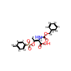 C/C(OS(=O)(=O)c1ccc(C)cc1)=C(\NC(=O)OCc1ccccc1)C(=O)O